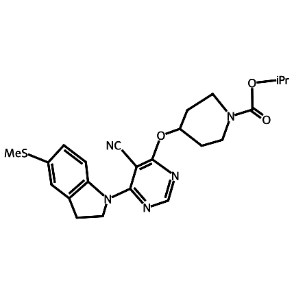 CSc1ccc2c(c1)CCN2c1ncnc(OC2CCN(C(=O)OC(C)C)CC2)c1C#N